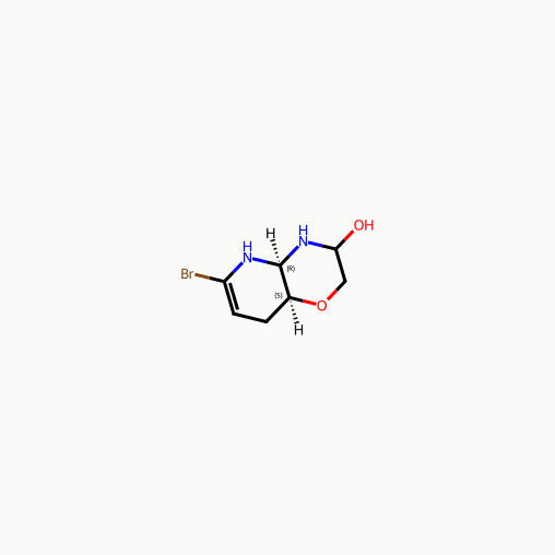 OC1CO[C@H]2CC=C(Br)N[C@H]2N1